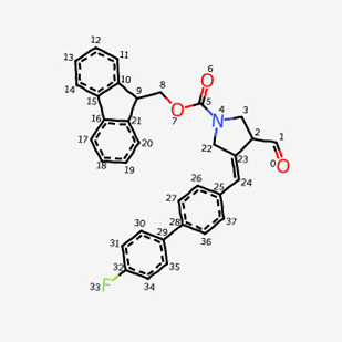 O=CC1CN(C(=O)OCC2c3ccccc3-c3ccccc32)CC1=Cc1ccc(-c2ccc(F)cc2)cc1